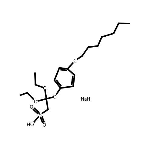 CCCCCCCCc1ccc(OC(CS(=O)(=O)O)(OCC)OCC)cc1.[NaH]